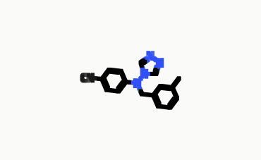 [C-]#[N+]c1ccc(N(Cc2cccc(C)c2)n2cnnc2)cc1